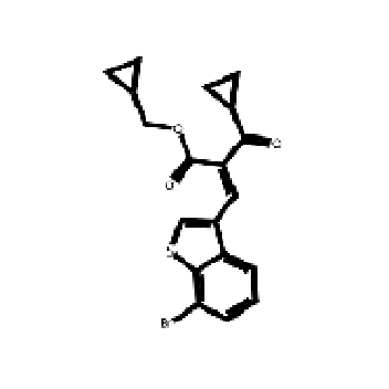 O=C(OCC1CC1)/C(=C\c1csc2c(Br)cccc12)C(=O)C1CC1